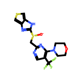 [O-][S+](Cc1ncc(C(F)(F)F)c(N2CCOCC2)n1)c1nc2cscc2[nH]1